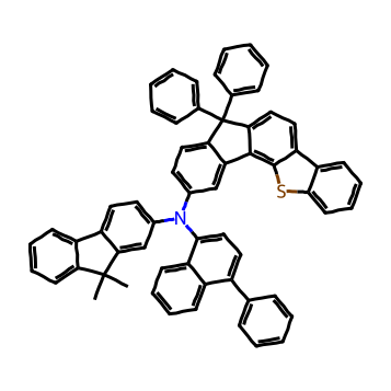 CC1(C)c2ccccc2-c2ccc(N(c3ccc4c(c3)-c3c(ccc5c3sc3ccccc35)C4(c3ccccc3)c3ccccc3)c3ccc(-c4ccccc4)c4ccccc34)cc21